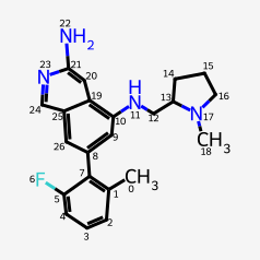 Cc1cccc(F)c1-c1cc(NCC2CCCN2C)c2cc(N)ncc2c1